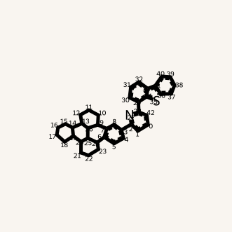 c1cc(-c2ccc3c(c2)C2CCCC4C5CCCCC5C5CCCC3C5C24)nc(-c2cccc3c2sc2ccccc23)c1